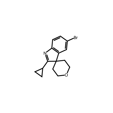 Brc1ccc2c(c1)C1(CCOCC1)C(C1CC1)=N2